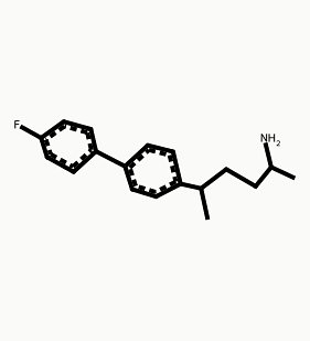 CC(N)CCC(C)c1ccc(-c2ccc(F)cc2)cc1